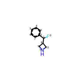 FC(c1ccccc1)C1CNC1